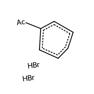 Br.Br.CC(=O)c1ccccc1